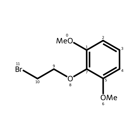 COc1cccc(OC)c1OCCBr